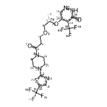 C[C@@H](COCCC(=O)N1CCN(c2ncc(C(F)(F)F)s2)CC1)Oc1cn[nH]c(=O)c1C(F)(F)F